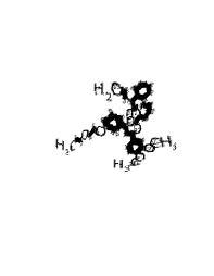 C=CCOCCOc1cccc(C(CCc2ccc(OC)c(OC)c2)OC(=O)C2CCCCN2C(=O)[C@H](CC=C)C2CCCCC2)c1